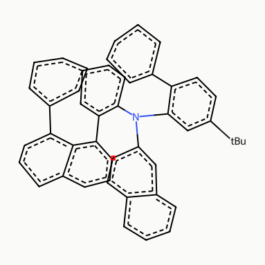 CC(C)(C)c1ccc(-c2ccccc2)c(N(c2ccc3ccccc3c2)c2ccccc2-c2cccc3cccc(-c4ccccc4)c23)c1